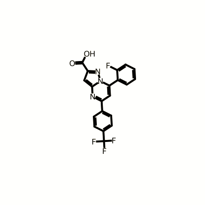 O=C(O)c1cc2nc(-c3ccc(C(F)(F)F)cc3)cc(-c3ccccc3F)n2n1